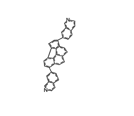 c1cc2ccc(-c3ccc4c5c3ccc3ccc6c(-c7ccc8ccncc8c7)ccc-4c6c35)cc2cn1